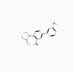 CN1C[C@@H]2CNC(=O)c3cc(-c4cccc(C(C)(O)C(F)(F)F)c4)ccc3[C@H]2C1